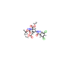 CCOC(=O)C1C2C(NC(=O)c3cc(Cl)cc(Cl)c3)CC(NC(=O)OC(C)(C)C)(C(=O)OCC)C12